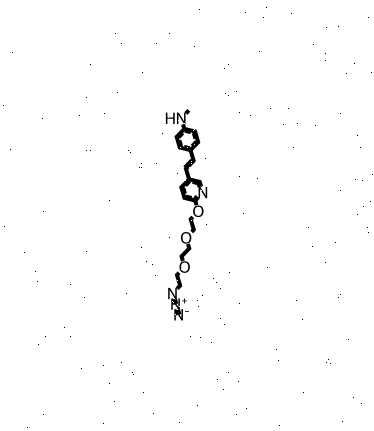 CNc1ccc(/C=C/c2ccc(OCCOCCOCCN=[N+]=[N-])nc2)cc1